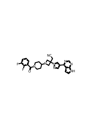 N#CCC1(n2cc(-c3ncnc4[nH]ccc34)cn2)CN(C2CCN(C(=O)c3cccc(F)c3F)CC2)C1